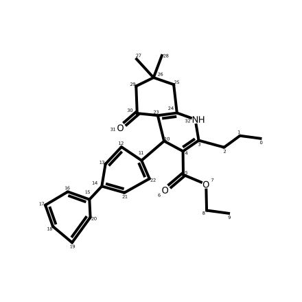 CCCC1=C(C(=O)OCC)C(c2ccc(-c3ccccc3)cc2)C2=C(CC(C)(C)CC2=O)N1